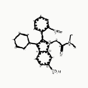 COc1ccccc1-c1c(C2CCCCC2)c2ccc(C(=O)O)cc2n1CC(=O)N(C)C